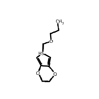 CCCOC[SH]1C=C2OCCOC2=C1